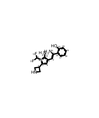 N/C(=C\c1cc(C2CNC2)n(C(F)F)c1N)c1ccccc1O